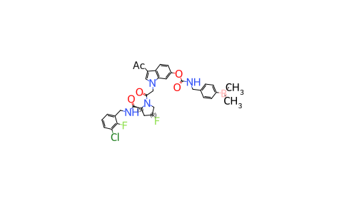 CB(C)c1ccc(CNC(=O)Oc2ccc3c(C(C)=O)cn(CC(=O)N4C[C@H](F)C[C@H]4C(=O)NCc4cccc(Cl)c4F)c3c2)cc1